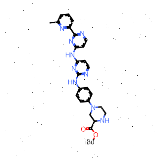 CCC(C)OC(=O)C1CN(c2ccc(Nc3nccc(Nc4ccnc(-c5cccc(C)n5)n4)n3)cc2)CCN1